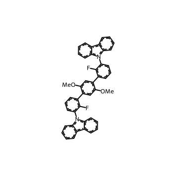 COc1cc(-c2cccc(-n3c4ccccc4c4ccccc43)c2F)c(OC)cc1-c1cccc(-n2c3ccccc3c3ccccc32)c1F